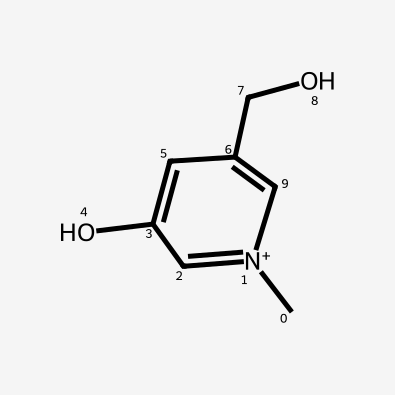 C[n+]1cc(O)cc(CO)c1